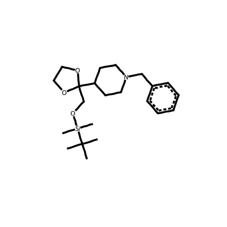 CC(C)(C)[Si](C)(C)OCC1(C2CCN(Cc3ccccc3)CC2)OCCO1